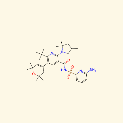 CC1CN(c2nc(C(C)(C)C)c(C3=CC(C)(C)OC(C)(C)C3)cc2C(=O)NS(=O)(=O)c2cccc(N)n2)C(C)(C)C1